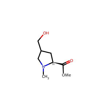 COC(=O)[C@@H]1CC(CO)CN1C